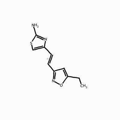 CCc1cc(/C=C/c2csc(N)n2)no1